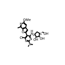 COc1cc2cc(-c3c(Cl)nc(N(C)C)nc3N[C@@H]3C[C@H](CO)[C@@H](O)[C@H]3O)oc2c(C)n1